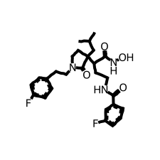 CC(C)CC1(C(CCNC(=O)c2cccc(F)c2)C(=O)NO)CCN(CCc2ccc(F)cc2)C1=O